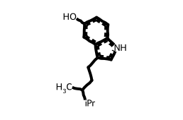 CC(C)C(C)CCc1c[nH]c2ccc(O)cc12